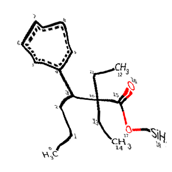 CCCC(c1ccccc1)C(CC)(CC)C(=O)O[SiH3]